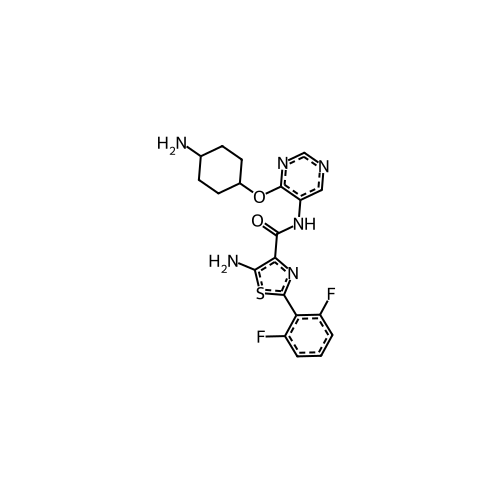 Nc1sc(-c2c(F)cccc2F)nc1C(=O)Nc1cncnc1OC1CCC(N)CC1